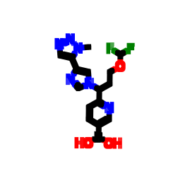 Cn1nncc1-c1cn(C(CCOC(F)F)c2ccc(B(O)O)cn2)cn1